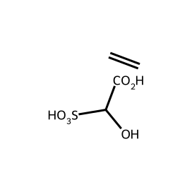 C=C.O=C(O)C(O)S(=O)(=O)O